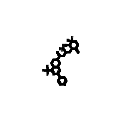 NC(CC(=O)N1CCc2c(nc(-c3ccncc3)nc2C(F)(F)F)C1)CN1C(=O)CCC(F)(F)C1O